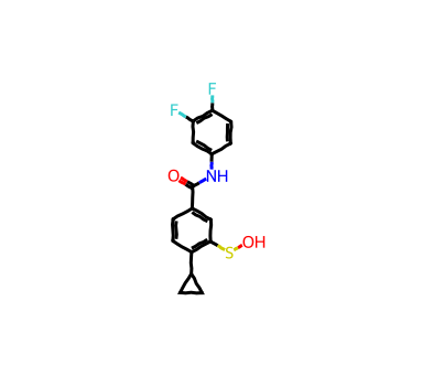 O=C(Nc1ccc(F)c(F)c1)c1ccc(C2CC2)c(SO)c1